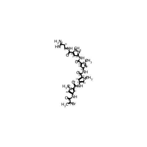 C=C(Br)C(=O)Nc1cc(C(=O)Nc2cc(C(=O)Nc3cc(C(=O)Nc4cc(C(=O)NCCC(=N)N)n(C)n4)n(C)n3)n(C)c2)n(C)c1